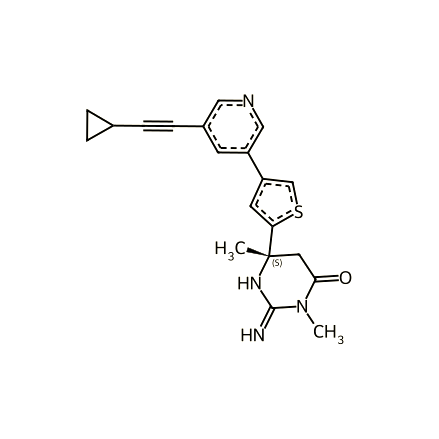 CN1C(=N)N[C@](C)(c2cc(-c3cncc(C#CC4CC4)c3)cs2)CC1=O